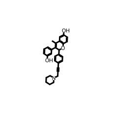 CC1=C(c2cccc(O)c2)C(c2ccc(C#CCN3CCCCC3)cc2)Oc2ccc(O)cc21